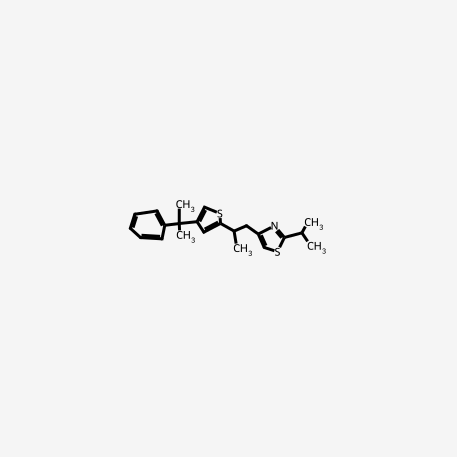 CC(C)c1nc(CC(C)c2cc(C(C)(C)c3ccccc3)cs2)cs1